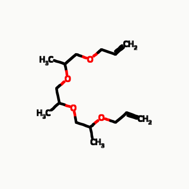 C=CCOCC(C)OCC(C)OCC(C)OCC=C